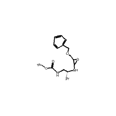 CC(C)[C@H](CNC(=O)OC(C)(C)C)NC1OC1OCc1ccccc1